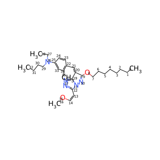 CCCCCCCCOc1nn2c(/C=C\OC)nnc2/c1=C\c1ccc(N(CC)CCCC)cc1C